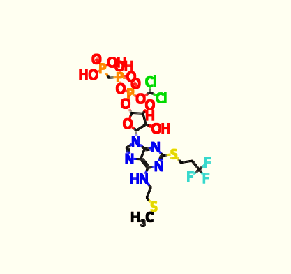 CSCCNc1nc(SCCC(F)(F)F)nc2c1ncn2[C@@H]1O[C@H](OP(=O)(OC(Cl)Cl)OP(=O)(O)CP(=O)(O)O)[C@@H](O)[C@H]1O